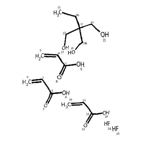 C=CC(=O)O.C=CC(=O)O.C=CC(=O)O.CCC(CO)(CO)CO.F.F